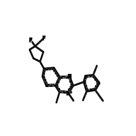 Cc1cc(C)c(C)c(-c2nc3cc(C4CCC(F)(F)C4)ccc3c(C)[n+]2C)c1